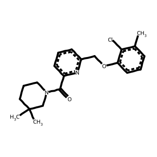 Cc1cccc(OCc2cccc(C(=O)N3CCCC(C)(C)C3)n2)c1Cl